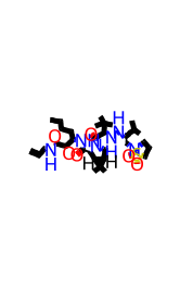 C=CCNC(=O)C(=O)C(CCCC)NC(=O)[C@@H]1[C@@H]2[C@H](CN1C(=O)[C@@H](NN[C@H](CN1CCCS1(=O)=O)C(C)C)C(C)(C)C)C2(C)C